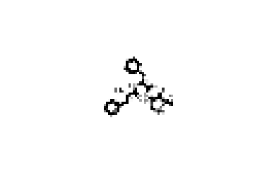 CC(C)C[C@H](NC(=O)[C@H](Cc1ccccc1)NC(=O)[C@@H](N)Cc1ccccc1)C(=O)[C@@]1(C)CO1